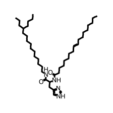 CCCCCCCC/C=C/CCCCCCCC(=O)NC(Cc1c[nH]cn1)C(=O)NCCCCCCCCCCCC(CCC)CCCC